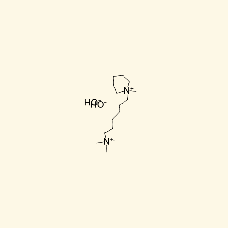 C[N+](C)(C)CCCCCC[N+]1(C)CCCCC1.[OH-].[OH-]